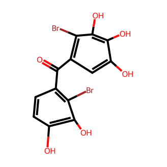 O=C(c1ccc(O)c(O)c1Br)c1cc(O)c(O)c(O)c1Br